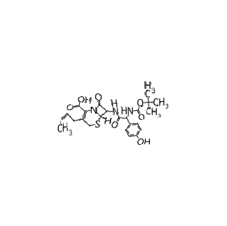 C/C=C\CC1=C(C(=O)O)N2C(=O)C(NC(=O)C(NC(=O)OC(C)(C)C)c3ccc(O)cc3)[C@@H]2SC1